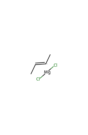 C[C]=CC.[Cl][Mg][Cl]